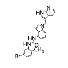 Cc1ccc(Br)cc1NC(=O)Nc1cccc2c1ccn2Cc1c[nH]c2ncccc12